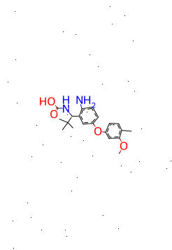 COc1cc(Oc2ccc(N)c(C(NC(=O)O)C(C)(C)C)c2)ccc1C